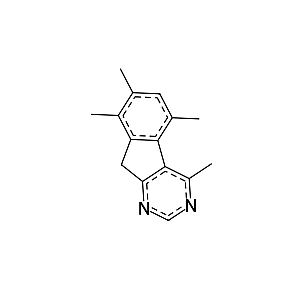 Cc1cc(C)c2c(c1C)Cc1ncnc(C)c1-2